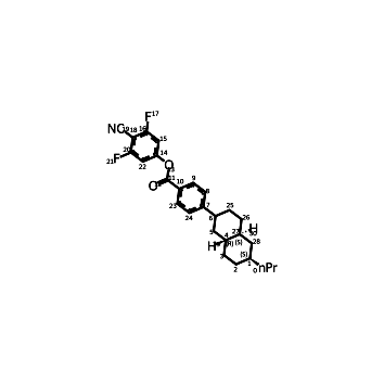 CCC[C@H]1CC[C@@H]2CC(c3ccc(C(=O)Oc4cc(F)c(C#N)c(F)c4)cc3)CC[C@H]2C1